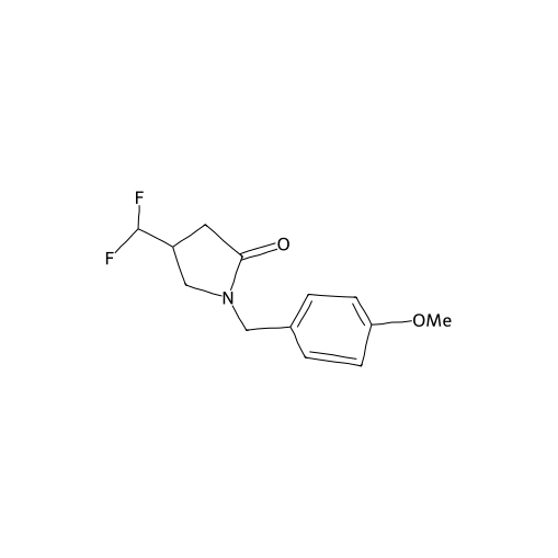 COc1ccc(CN2CC(C(F)F)CC2=O)cc1